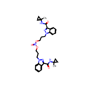 N#CC1(NC(=O)c2nn(CCCO[N+](=O)OCCCn3nc(C(=O)NC4(C#N)CC4)c4ccccc43)c3ccccc23)CC1